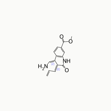 C=C/C=c1/c(=O)[nH]c2cc(C(=O)OC)ccc2/c1=C/N